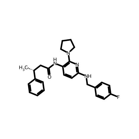 C[C@H](CC(=O)Nc1ccc(NCc2ccc(F)cc2)nc1N1CCCC1)c1ccccc1